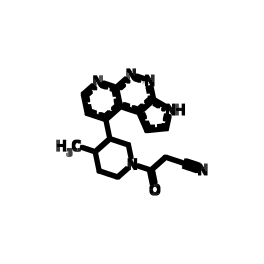 CC1CCN(C(=O)CC#N)CC1c1ccnc2nnc3[nH]ccc3c12